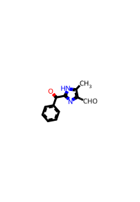 Cc1[nH]c(C(=O)c2ccccc2)nc1C=O